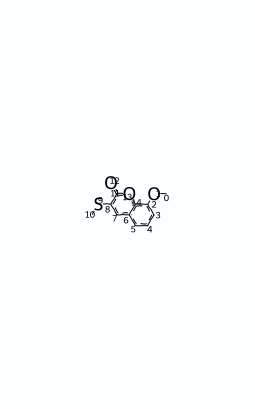 COc1cccc2cc(SC)c(=O)oc12